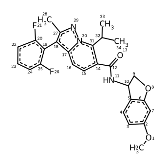 COc1ccc2c(c1)OCC2NC(=O)c1ccc2c(-c3c(F)cccc3F)c(C)nn2c1C(C)C